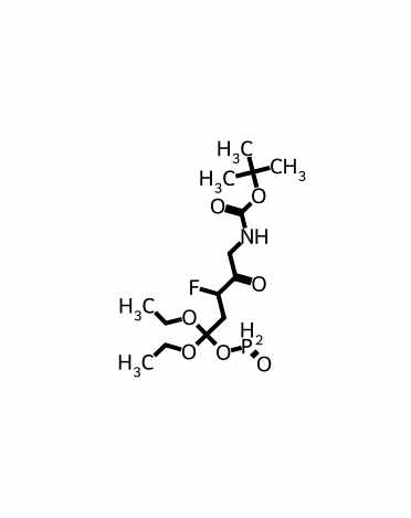 CCOC(CC(F)C(=O)CNC(=O)OC(C)(C)C)(OCC)O[PH2]=O